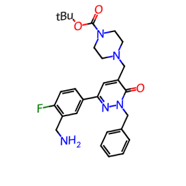 CC(C)(C)OC(=O)N1CCN(Cc2cc(-c3ccc(F)c(CN)c3)nn(Cc3ccccc3)c2=O)CC1